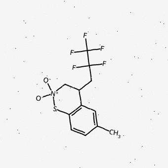 Cc1ccc2c(c1)C(CC(F)(F)C(F)(F)F)C[N+]([O-])([O-])S2